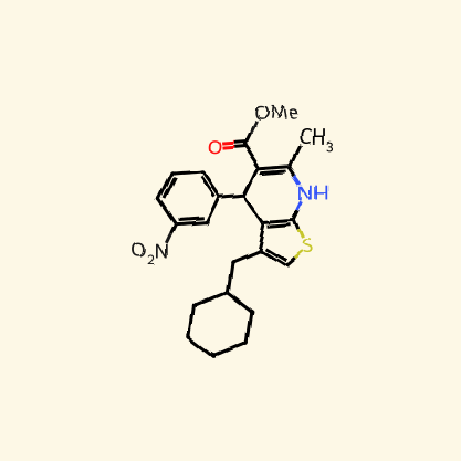 COC(=O)C1=C(C)Nc2scc(CC3CCCCC3)c2C1c1cccc([N+](=O)[O-])c1